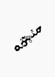 C=C=C(CNC(=O)c1ncnc2c1CCN(Cc1ccccc1)C2)CC1CC2CC2C1